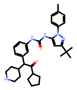 Cc1ccc(-n2nc(C(C)(C)C)cc2NC(=O)Nc2cccc(C(C(=O)C3CCCC3)C3CCNCC3)c2)cc1